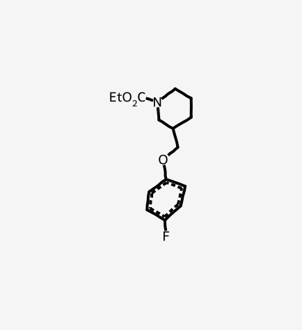 CCOC(=O)N1CCCC(COc2ccc(F)cc2)C1